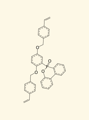 C=Cc1ccc(COc2ccc(OCc3ccc(C=C)cc3)c(P3(=O)Oc4ccccc4-c4ccccc43)c2)cc1